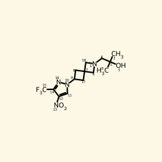 CC(C)(O)CN1CC2(CC(n3cc([N+](=O)[O-])c(C(F)(F)F)n3)C2)C1